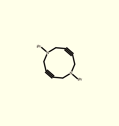 CC(C)N1CC#CCN(C(C)C)CC#CC1